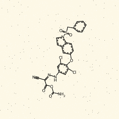 N#CC(=NNc1cc(Cl)c(Oc2ccc3c(ccn3S(=O)(=O)Cc3ccccc3)c2)c(Cl)c1)C(=O)OC(N)=O